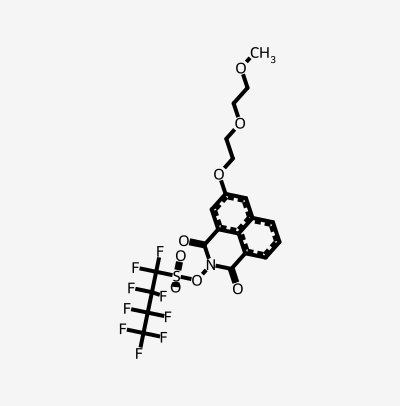 COCCOCCOc1cc2c3c(cccc3c1)C(=O)N(OS(=O)(=O)C(F)(F)C(F)(F)C(F)(F)C(F)(F)F)C2=O